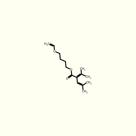 C=COCCCCOC(=O)C(C=C(C)C)=C(C)C